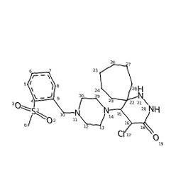 CS(=O)(=O)c1ccccc1CN1CCN(C2C(Cl)C(=O)NNC23CCCCCC3)CC1